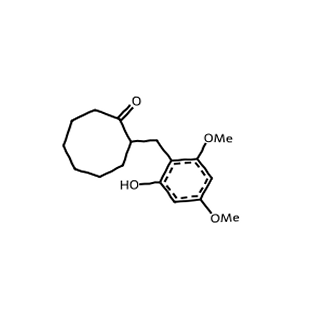 COc1cc(O)c(CC2CCCCCCC2=O)c(OC)c1